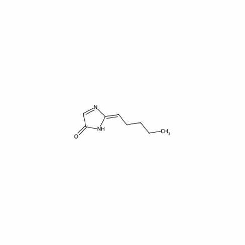 CCCCC=C1N=CC(=O)N1